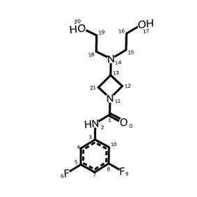 O=C(Nc1cc(F)cc(F)c1)N1CC(N(CCO)CCO)C1